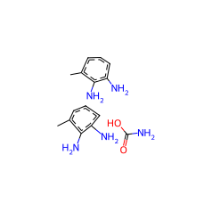 Cc1cccc(N)c1N.Cc1cccc(N)c1N.NC(=O)O